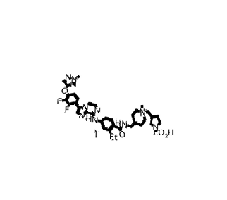 CCc1cc(Nc2nccn3c(-c4ccc(Oc5cnn(C)n5)c(F)c4F)cnc23)ccc1C(=O)NCC1CC[N+](C)(CC2CCN(C(=O)O)C2)CC1.[I-]